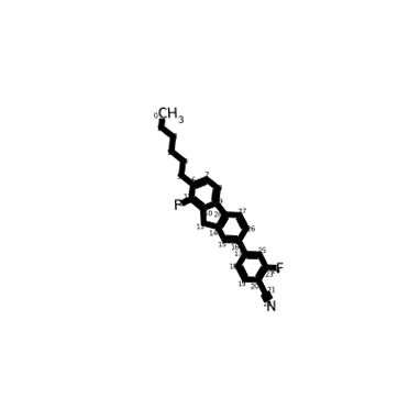 CCCCCCc1ccc2c(c1F)Cc1cc(-c3ccc(C#N)c(F)c3)ccc1-2